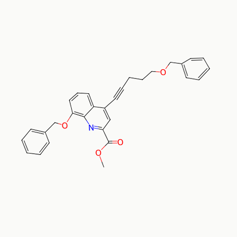 COC(=O)c1cc(C#CCCCOCc2ccccc2)c2cccc(OCc3ccccc3)c2n1